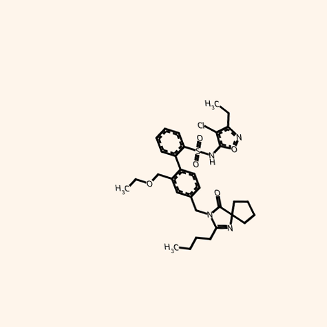 CCCCC1=NC2(CCCC2)C(=O)N1Cc1ccc(-c2ccccc2S(=O)(=O)Nc2onc(CC)c2Cl)c(COCC)c1